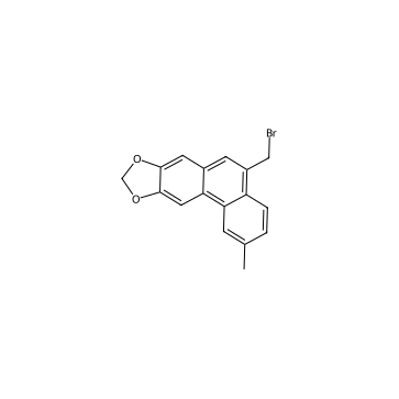 Cc1ccc2c(CBr)cc3cc4c(cc3c2c1)OCO4